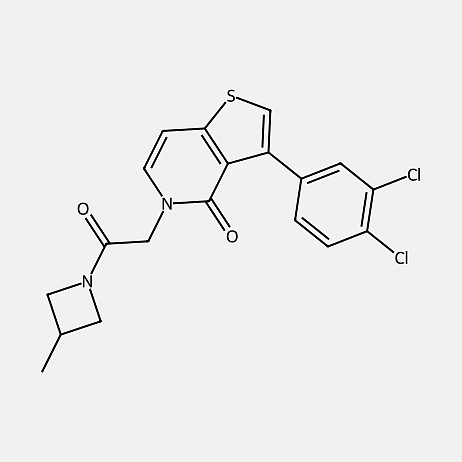 CC1CN(C(=O)Cn2ccc3scc(-c4ccc(Cl)c(Cl)c4)c3c2=O)C1